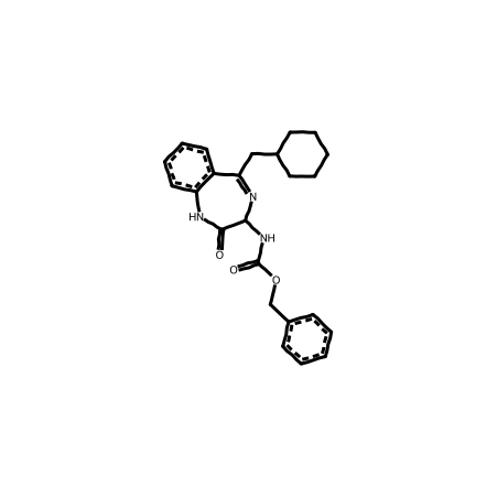 O=C(NC1N=C(CC2CCCCC2)c2ccccc2NC1=O)OCc1ccccc1